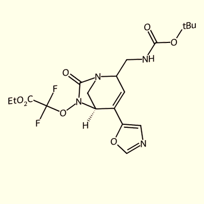 CCOC(=O)C(F)(F)ON1C(=O)N2C[C@H]1C(c1cnco1)=CC2CNC(=O)OC(C)(C)C